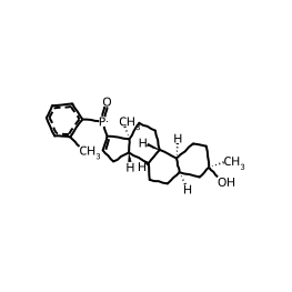 Cc1ccccc1[P](=O)C1=CC[C@H]2[C@@H]3CC[C@@H]4C[C@](C)(O)CC[C@@H]4[C@H]3CC[C@]12C